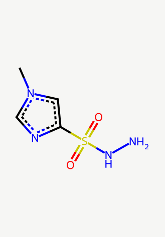 Cn1cnc(S(=O)(=O)NN)c1